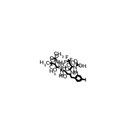 COC(=O)NC(C(=O)NNCC(O)C(Cc1ccc(I)cc1)NC(=O)C(NC(=O)O)C(C)(C)C(F)(F)F)C(C)(C)C